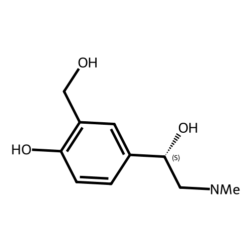 CNC[C@@H](O)c1ccc(O)c(CO)c1